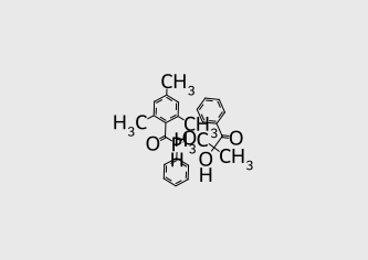 CC(C)(O)C(=O)c1ccccc1.Cc1cc(C)c(C(=O)[PH](=O)c2ccccc2)c(C)c1